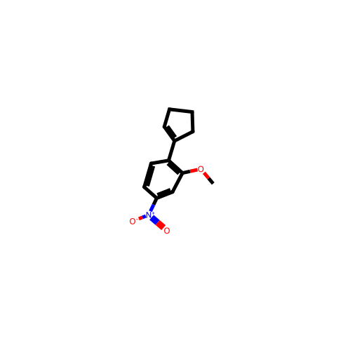 COc1cc([N+](=O)[O-])ccc1C1=CCCC1